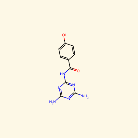 Nc1nc(N)nc(NC(=O)c2ccc(O)cc2)n1